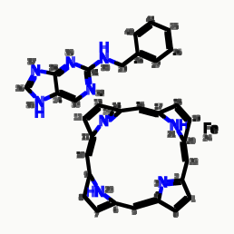 C1=CC2=NC1=CC1=CCC(C=C3C=CC(=N3)C=c3ccc([nH]3)=C2)N1.[Fe].c1ccc(CNc2ncc3[nH]cnc3n2)cc1